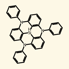 c1ccc(N2c3cccc4c3[SiH]3c5c2cccc5N(c2ccccc2)c2cccc(c23)N4c2ccccc2)cc1